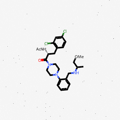 COCC(C)NCc1ccccc1N1CCN(C(=O)[C@@H](Cc2ccc(Cl)cc2Cl)NC(C)=O)CC1